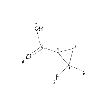 CC1(F)CC1C(=O)O